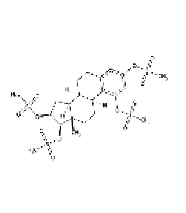 C[C@]12CC[C@@H]3c4c(cc(OS(C)(=O)=O)cc4OS(C)(=O)=O)CC[C@@H]3[C@@H]1C[C@H](OS(C)(=O)=O)[C@@H]2OS(C)(=O)=O